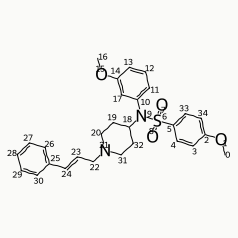 COc1ccc(S(=O)(=O)N(c2cccc(OC)c2)C2CCN(CC=Cc3ccccc3)CC2)cc1